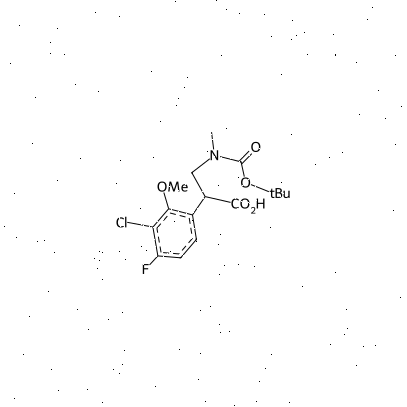 COc1c(C(CN(C)C(=O)OC(C)(C)C)C(=O)O)ccc(F)c1Cl